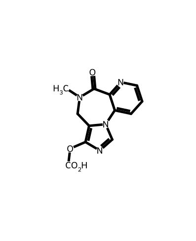 CN1Cc2c(OC(=O)O)ncn2-c2cccnc2C1=O